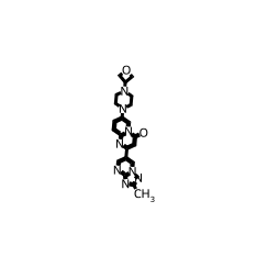 Cc1nc2ncc(-c3cc(=O)n4cc(N5CCN(C6COC6)CC5)ccc4n3)cn2n1